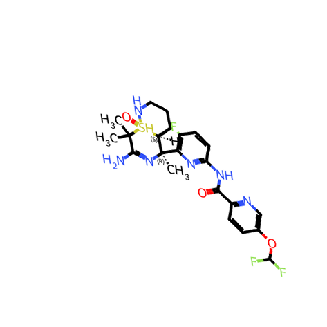 CC1(C)C(N)=N[C@](C)(c2nc(NC(=O)c3ccc(OC(F)F)cn3)ccc2F)[C@@H]2CCCN[SH]21=O